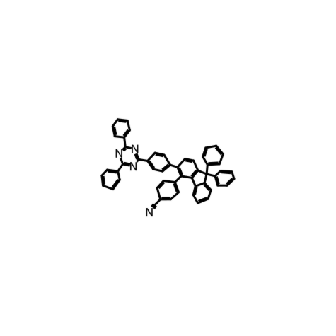 N#Cc1ccc(-c2c(-c3ccc(-c4nc(-c5ccccc5)nc(-c5ccccc5)n4)cc3)ccc3c2-c2ccccc2C3(c2ccccc2)c2ccccc2)cc1